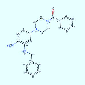 Nc1ccc(N2CCN(C(=O)c3ccccc3)CC2)cc1NCc1ccccc1